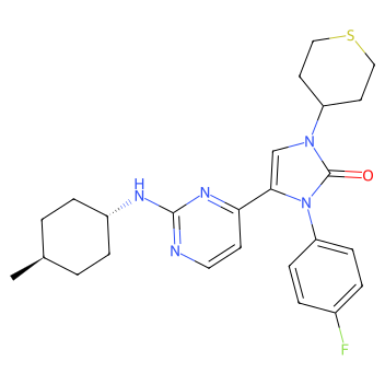 C[C@H]1CC[C@H](Nc2nccc(-c3cn(C4CCSCC4)c(=O)n3-c3ccc(F)cc3)n2)CC1